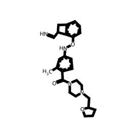 Cc1cc(NOc2cccc3c2C(C=N)C3)ccc1C(=O)N1CCN(CC2CCCO2)CC1